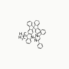 CC1(C)c2ccccc2N(c2nc(-c3ccccc3)cc(-c3ccccc3)n2)c2cc3c(cc21)-c1ccccc1C31C2=CCCC=C2c2ccccc21